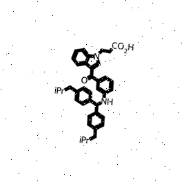 CC(C)Cc1ccc(C(Nc2cccc(C(=O)c3cn(CCC(=O)O)c4ccccc34)c2)c2ccc(CC(C)C)cc2)cc1